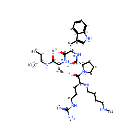 CCNCCCCN[C@@H](CCCNC(=N)N)C(=O)N1CCC[C@H]1C(=O)N[C@@H](Cc1c[nH]c2ccccc12)C(=O)N[C@H](C(=O)N[C@@H](CC(C)C)C(=O)O)C(C)(C)C